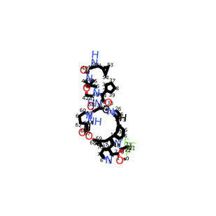 CO[C@@H](C)c1ncccc1-c1c2c3cc(ccc3n1CC(F)(F)F)[C@@H]1CCN(C1)C[C@H](NC(=O)C(C1CCCC1)N1CCOC3(CN(C(=O)[C@@H]4NC4C4CC4)C3)C1)C(=O)N1CCC[C@H](N1)C(=O)OCC(C)(C)C2